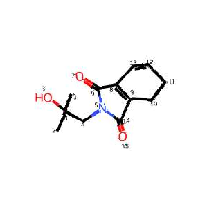 CC(C)(O)CN1C(=O)C2=C(CCC=C2)C1=O